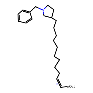 CCCCCCCC/C=C\CCCCCCCCCC1CCN(Cc2ccccc2)C1